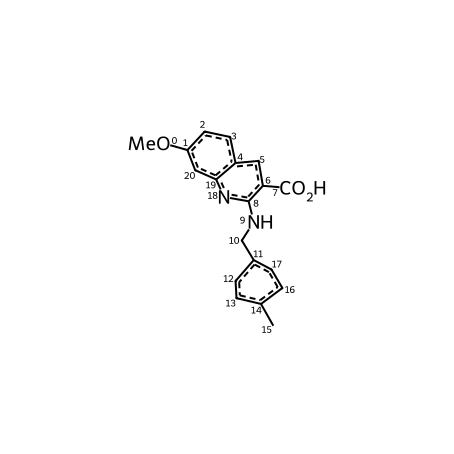 COc1ccc2cc(C(=O)O)c(NCc3ccc(C)cc3)nc2c1